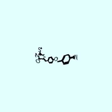 CSC1=NC(=O)C(=Cc2ccc(OCc3ccc(C#N)cc3)cc2)S1